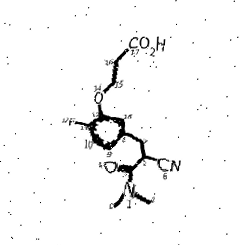 CN(C)C(=O)C(C#N)Cc1ccc(F)c(OCCC(=O)O)c1